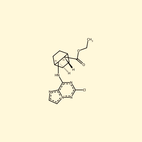 CCOC(=O)[C@H]1C2CCC(CC2)[C@@H]1Nc1nc(Cl)nn2ccnc12